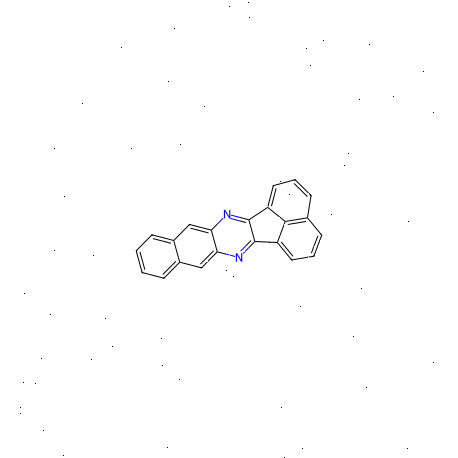 c1ccc2cc3nc4c(nc3cc2c1)-c1cccc2cccc-4c12